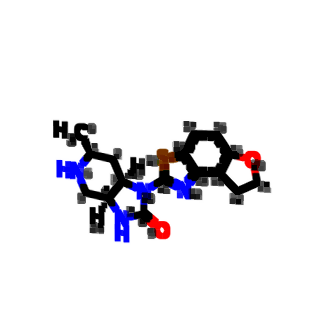 C[C@H]1C[C@@H]2[C@H](CN1)NC(=O)N2c1nc2c3c(ccc2s1)OCC3